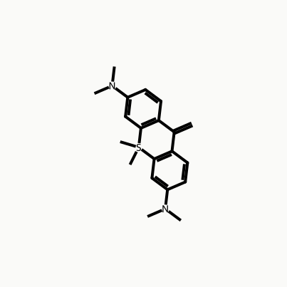 C=C1c2ccc(N(C)C)cc2S(C)(C)c2cc(N(C)C)ccc21